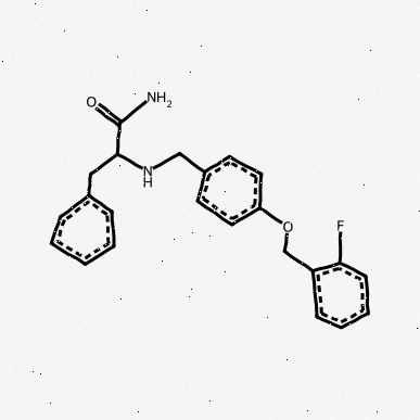 NC(=O)C(Cc1ccccc1)NCc1ccc(OCc2ccccc2F)cc1